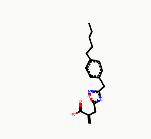 C=C(Cc1nc(Cc2ccc(CCCCC)cc2)no1)C(=O)O